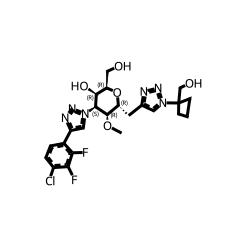 CO[C@@H]1[C@@H](n2cc(-c3ccc(Cl)c(F)c3F)nn2)[C@@H](O)[C@@H](CO)O[C@@H]1Cc1cn(C2(CO)CCC2)nn1